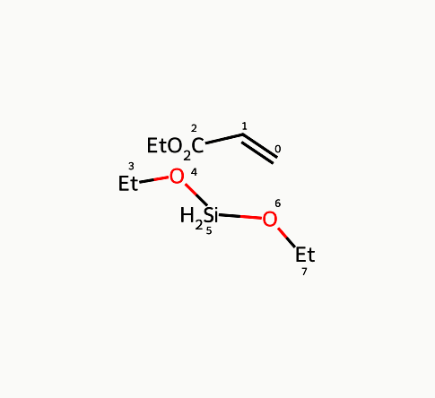 C=CC(=O)OCC.CCO[SiH2]OCC